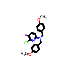 COc1ccc(CN(Cc2ccc(OC)cc2)c2ccc(I)c(Cl)n2)cc1